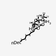 CCCCCCCCCCCCCCCC[SiH](O[SiH2]O[SiH3])O[Si](C)(C)O[Si](C)(C)O[Si](C)(C)C